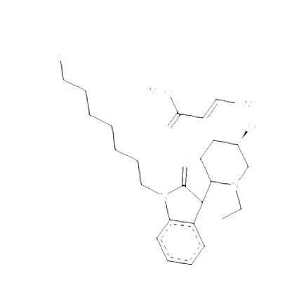 CC[C@H]1CN2CC[C@]3(C(=O)N(CCCCCCCBr)c4ccccc43)C2C[C@@H]1/C(=C\OC)C(=O)OC